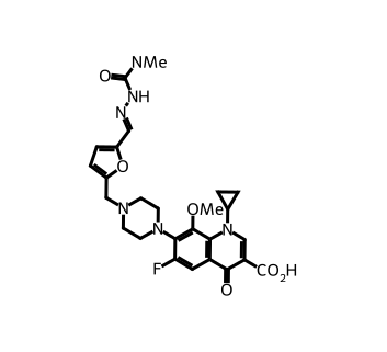 CNC(=O)N/N=C/c1ccc(CN2CCN(c3c(F)cc4c(=O)c(C(=O)O)cn(C5CC5)c4c3OC)CC2)o1